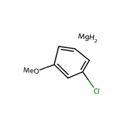 COc1cccc(Cl)c1.[MgH2]